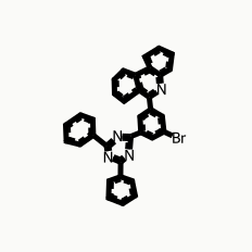 Brc1cc(-c2nc(-c3ccccc3)nc(-c3ccccc3)n2)cc(-c2nc3ccccc3c3ccccc23)c1